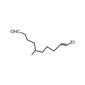 CCC=CCCCC(C)CCC[C]=O